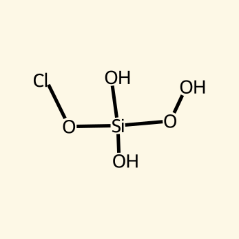 OO[Si](O)(O)OCl